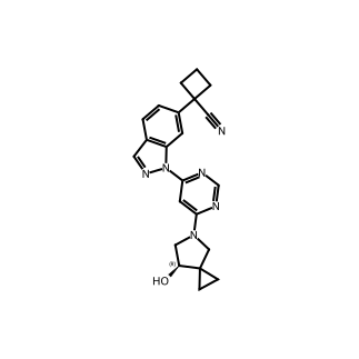 N#CC1(c2ccc3cnn(-c4cc(N5C[C@H](O)C6(CC6)C5)ncn4)c3c2)CCC1